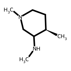 CNC1CN(C)CC[C@H]1C